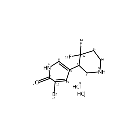 Cl.Cl.O=c1[nH]cc(C2CNCCC2(F)F)cc1Br